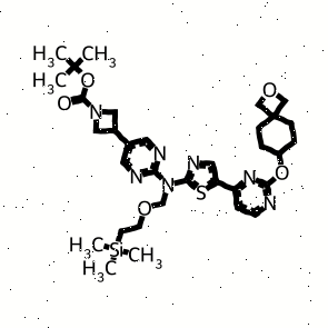 CC(C)(C)OC(=O)N1CC(c2cnc(N(COCC[Si](C)(C)C)c3ncc(-c4ccnc(OC5CCC6(CC5)COC6)n4)s3)nc2)C1